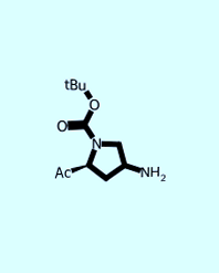 CC(=O)[C@@H]1CC(N)CN1C(=O)OC(C)(C)C